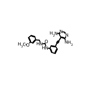 COc1cccc(CNC(=O)Nc2cccc(C#Cc3c(N)ncnc3N)c2)c1